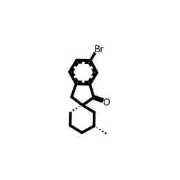 C[C@@H]1CCC[C@@]2(Cc3ccc(Br)cc3C2=O)C1